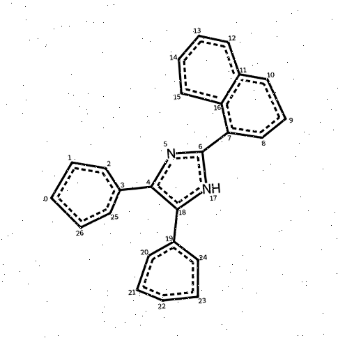 c1ccc(-c2nc(-c3cccc4ccccc34)[nH]c2-c2ccccc2)cc1